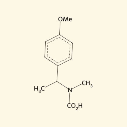 COc1ccc(C(C)N(C)C(=O)O)cc1